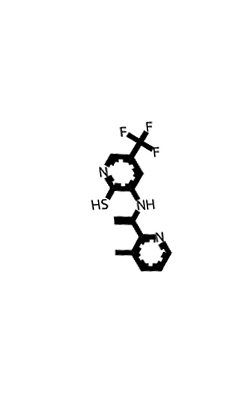 C=C(Nc1cc(C(F)(F)F)cnc1S)c1ncccc1C